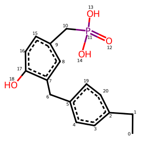 CCc1ccc(Cc2cc(CP(=O)(O)O)ccc2O)cc1